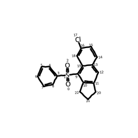 O=S(=O)(c1ccccc1)c1c2c(cc3ccc(Cl)cc13)CCC2